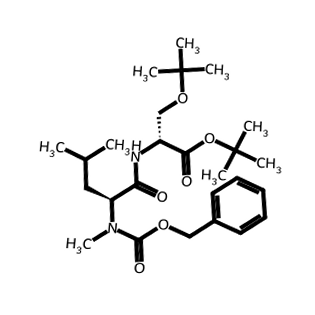 CC(C)C[C@@H](C(=O)N[C@H](COC(C)(C)C)C(=O)OC(C)(C)C)N(C)C(=O)OCc1ccccc1